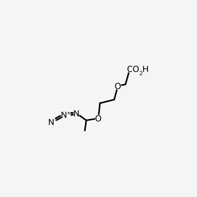 CC(N=[N+]=[N-])OCCOCC(=O)O